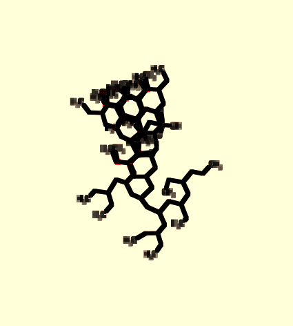 CCCC(CC)CC(CC)CC(CC(CC)CC)CC(CC(CC(CC)CC)CC(CC)CC)CC(CC(CC(CC(CC(CC)CC)CC(CC)CC)CC(CC(CC)CC)CC(CC)CC)CC(CC(CC(CC)CC)CC(CC)CC)CC(CC(CC)CC)CC(CC)CC)CC(CC)C(=O)NC(C)(C)CS(=O)(=O)O